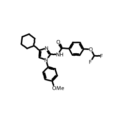 COc1ccc(-n2cc(C3CCCCC3)nc2NC(=O)c2ccc(OC(F)F)cc2)cc1